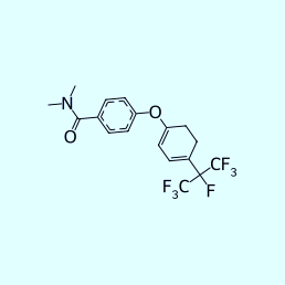 CN(C)C(=O)c1ccc(OC2=CC=C(C(F)(C(F)(F)F)C(F)(F)F)CC2)cc1